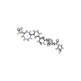 Cn1ccc(C(=O)NCC(=O)NC2=NC(c3cccc(/C4=C/CC(C5COC5)CCCC4)c3)=CSC2)c1